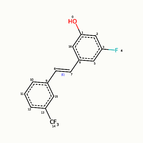 Oc1cc(F)cc(/C=C/c2cccc(C(F)(F)F)c2)c1